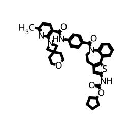 Cc1ccc(C(=O)Nc2ccc(C(=O)N3CCc4cc(NC(=O)OC5CCCC5)sc4-c4ccccc43)cc2)c(N2CC3(CCOCC3)C2)n1